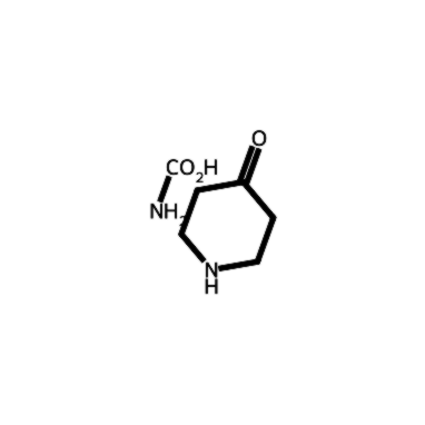 NC(=O)O.O=C1CCNCC1